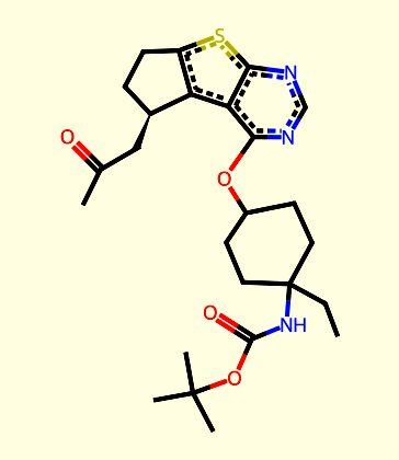 CCC1(NC(=O)OC(C)(C)C)CCC(Oc2ncnc3sc4c(c23)[C@@H](CC(C)=O)CC4)CC1